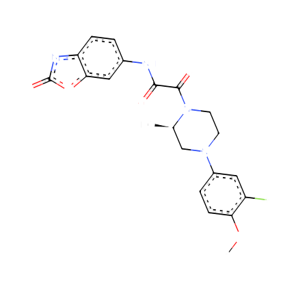 CC(C)Oc1ccc(N2CCN(C(=O)C(=O)Nc3ccc4[nH]c(=O)oc4c3)[C@H](C)C2)cc1F